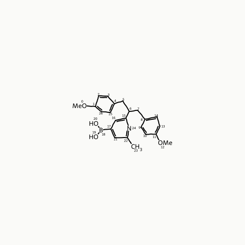 COc1ccc(CC(Cc2ccc(OC)cc2)c2cc(B(O)O)cc(C)n2)cc1